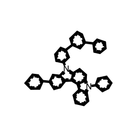 c1ccc(-c2cccc(-c3cccc(-n4c5cc(-c6ccccc6)ccc5c5c6c7ccccc7n(-c7ccccc7)c6ccc54)c3)c2)cc1